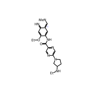 CCNC1CCN(c2cnc(C(=O)NC3=C/C(=C/NC)C(=N)C=C3OCC)cn2)C1